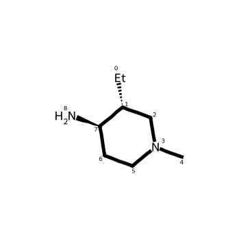 CC[C@@H]1CN(C)CC[C@H]1N